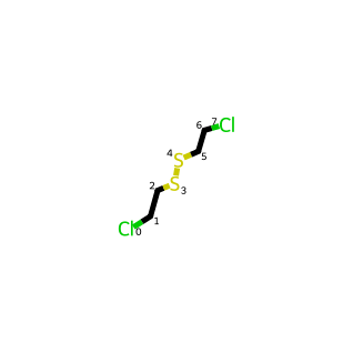 ClCCSSCCCl